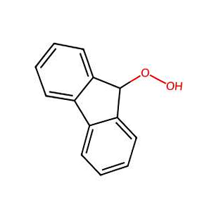 OOC1c2ccccc2-c2ccccc21